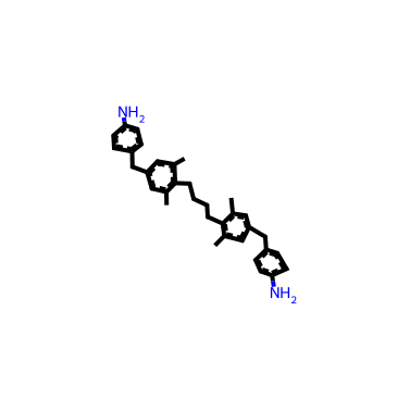 Cc1cc(Cc2ccc(N)cc2)cc(C)c1CCCCc1c(C)cc(Cc2ccc(N)cc2)cc1C